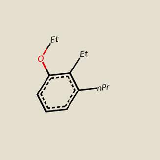 [CH2]CCc1cccc(OCC)c1CC